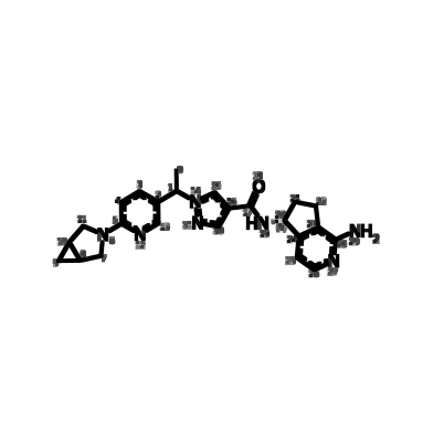 CC(c1ccc(N2CC3CC3C2)nc1)n1cc(C(=O)N[C@@H]2CCc3c2ccnc3N)cn1